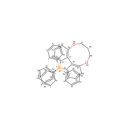 c1ccc(P(c2ccccc2)c2cccc3c2-c2c(cccc2P(c2ccccc2)c2ccccc2)OCCCO3)cc1